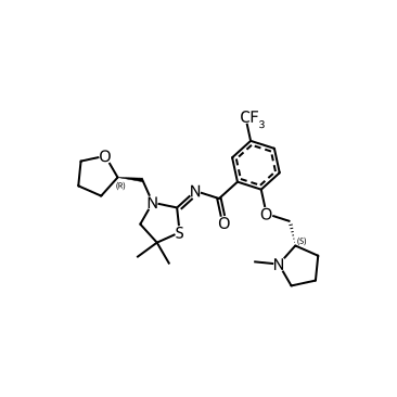 CN1CCC[C@H]1COc1ccc(C(F)(F)F)cc1C(=O)N=C1SC(C)(C)CN1C[C@H]1CCCO1